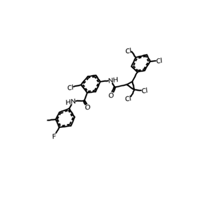 Cc1cc(NC(=O)c2cc(NC(=O)C3C(c4cc(Cl)cc(Cl)c4)C3(Cl)Cl)ccc2Cl)ccc1F